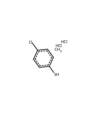 C.Cl.Cl.Sc1ccc(Cl)cc1